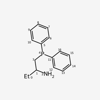 CCC(N)CP(c1ccccc1)c1ccccc1